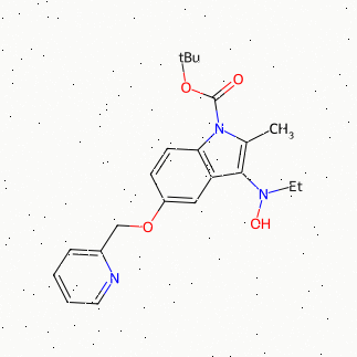 CCN(O)c1c(C)n(C(=O)OC(C)(C)C)c2ccc(OCc3ccccn3)cc12